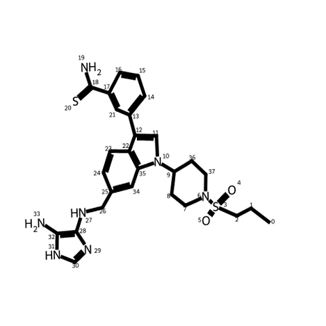 CCCS(=O)(=O)N1CCC(n2cc(-c3cccc(C(N)=S)c3)c3ccc(CNc4nc[nH]c4N)cc32)CC1